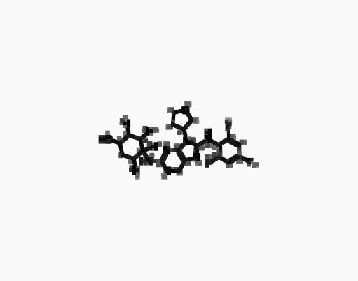 [2H]C1C(O)CC([2H])C([2H])(Nc2ncc3nc(Nc4c(F)cc(F)cc4F)n(C4CCOC4)c3n2)C1[2H]